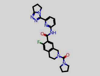 O=C(Nc1cccc(-c2nnc3n2CCC3)n1)c1cc2c(cc1F)CCN(C(=O)N1CCCC1)C2